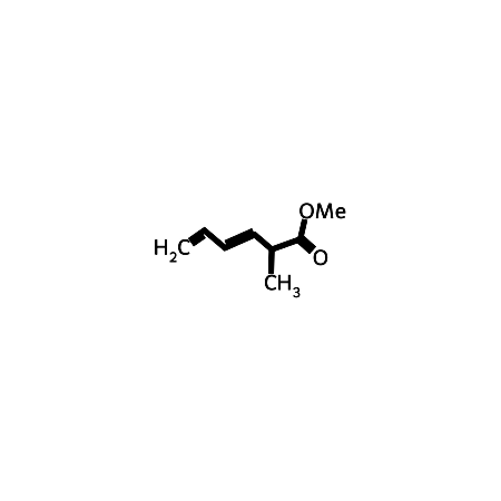 C=CC=CC(C)C(=O)OC